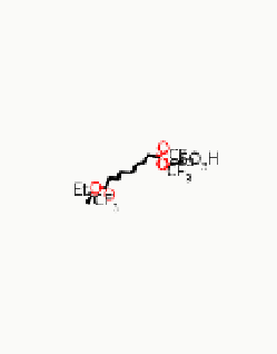 CCC(C)(OC(=O)CCCCCCCC(=O)OC(CS(=O)(=O)O)(C(F)(F)F)C(F)(F)F)C(F)(F)F